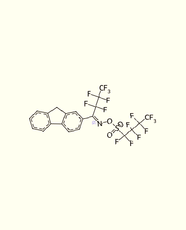 O=S(=O)(O/N=C(/c1ccc2c(c1)Cc1ccccc1-2)C(F)(F)C(F)(F)C(F)(F)F)C(F)(F)C(F)(F)C(F)(F)C(F)(F)F